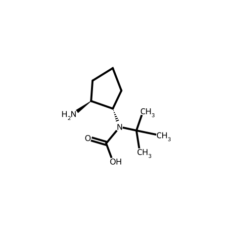 CC(C)(C)N(C(=O)O)[C@H]1CCC[C@@H]1N